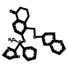 C[C@](Oc1ccc2c(c1COc1ccc3ncccc3c1)CCCC2=O)(c1ccccc1)c1ncc[nH]1